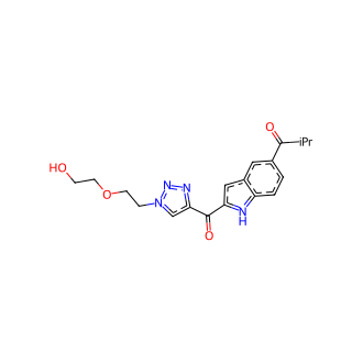 CC(C)C(=O)c1ccc2[nH]c(C(=O)c3cn(CCOCCO)nn3)cc2c1